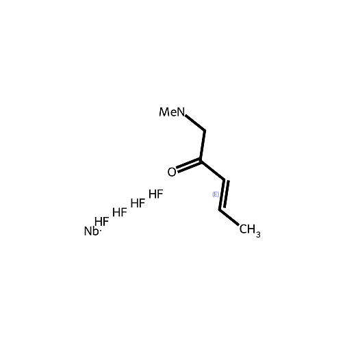 C/C=C/C(=O)CNC.F.F.F.F.[Nb]